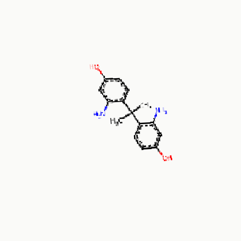 CC(C)(c1ccc(O)cc1N)c1ccc(O)cc1N